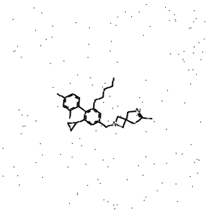 CCCCCc1cc(CN2CC3(CN=C(C)C3)C2)cc(C2CC2)c1-c1ccc(C)cc1C